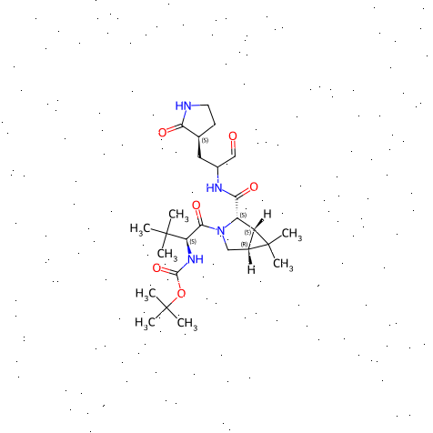 CC(C)(C)OC(=O)N[C@H](C(=O)N1C[C@@H]2[C@H]([C@H]1C(=O)NC(C=O)C[C@@H]1CCNC1=O)C2(C)C)C(C)(C)C